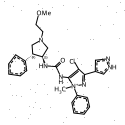 COCCN1C[C@@H](NC(=O)NC2=C(Cl)C(c3cn[nH]c3)=N[N+]2(C)c2ccccc2)[C@H](c2ccccc2)C1